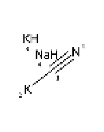 N#[C][K].[KH].[NaH]